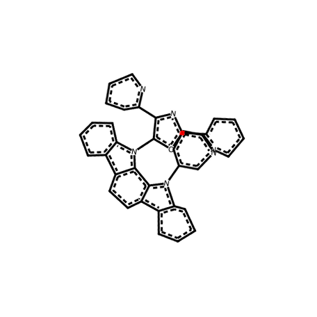 c1ccc(-c2nc(-c3ccccn3)c(-n3c4ccccc4c4ccc5c6ccccc6n(-c6cccnc6)c5c43)o2)nc1